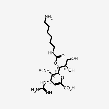 CC(=O)N[C@H]1[C@H]([C@H](OC(=O)NCCCCCCN)[C@H](O)CO)OC(C(=O)O)=C[C@@H]1NC(=N)N